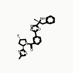 Cc1csc([C@H]2C[C@H](F)CN2C(=O)c2cccc(-c3nnc([C@](C)(N)Cc4ccccc4)o3)c2)n1